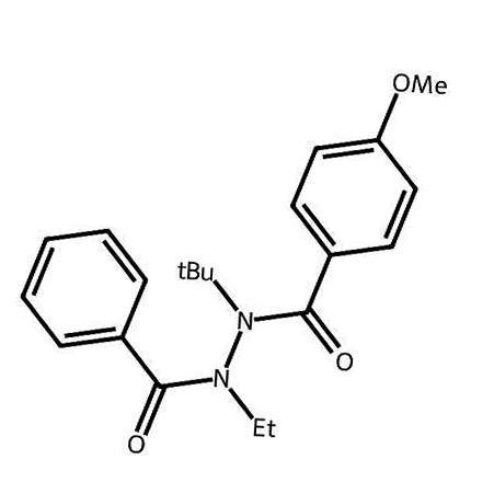 CCN(C(=O)c1ccccc1)N(C(=O)c1ccc(OC)cc1)C(C)(C)C